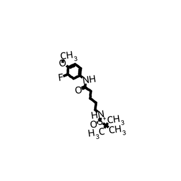 COC1=CC=C(NC(=O)CCCCN[S+]([O-])C(C)(C)C)CC1F